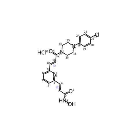 Cl.O=C(/C=C/c1cccc(/C=C/C(=O)N2CCN(c3ccc(Cl)cc3)CC2)n1)NO